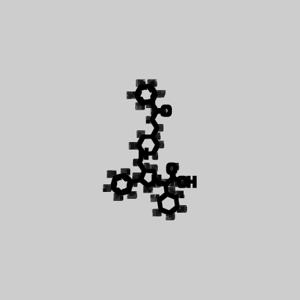 O=C(CCC1CCN(CC2CN(C(C(=O)O)C3CCCCC3)CC2c2ccccc2)CC1)c1ccccc1